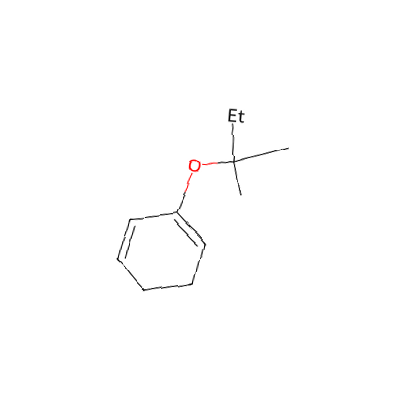 CCC(C)(C)OC1=CCCC=C1